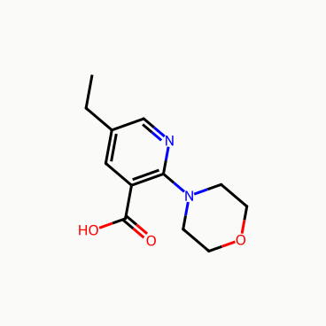 CCc1cnc(N2CCOCC2)c(C(=O)O)c1